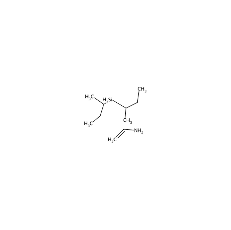 C=CN.CCC(C)[SiH2]C(C)CC